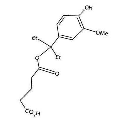 CCC(CC)(OC(=O)CCCC(=O)O)c1ccc(O)c(OC)c1